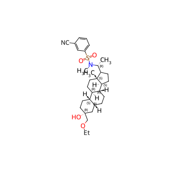 CCOC[C@@]1(O)CC[C@H]2[C@H](CC[C@@H]3[C@@H]2CC[C@]2(C)C([C@@H](C)N(C)S(=O)(=O)c4cccc(C#N)c4)CC[C@@H]32)C1